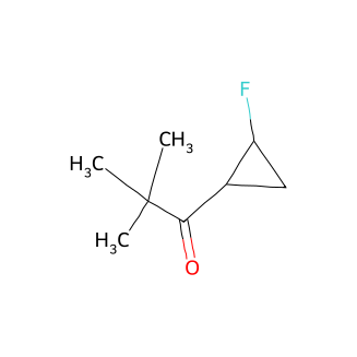 CC(C)(C)C(=O)C1CC1F